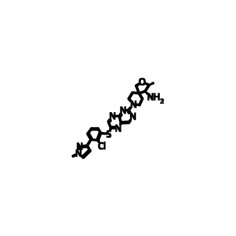 C[C@@H]1OCC2(CCN(c3ncc4nc(Sc5cccc(-c6ccn(C)n6)c5Cl)cnc4n3)CC2)[C@@H]1N